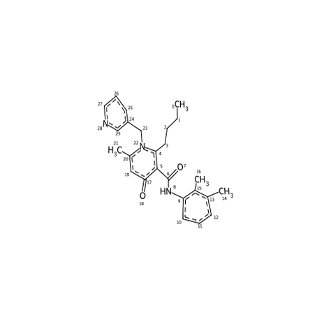 CCCCc1c(C(=O)Nc2cccc(C)c2C)c(=O)cc(C)n1Cc1cccnc1